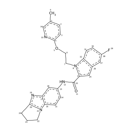 Cc1ccc(OCCn2c(C(=O)Nc3ccc4c(c3)nc3n4CCC3)cc3cc(F)ccc32)nc1